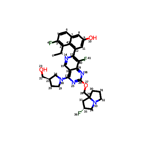 CCc1c(F)ccc2cc(O)cc(-c3ncc4c(N5CC[C@@H](CO)C5)nc(OCC56CCCN5C[C@H](F)C6)nc4c3F)c12